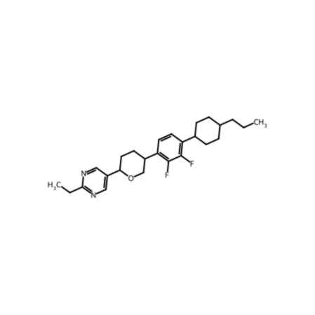 CCCC1CCC(c2ccc(C3CCC(c4cnc(CC)nc4)OC3)c(F)c2F)CC1